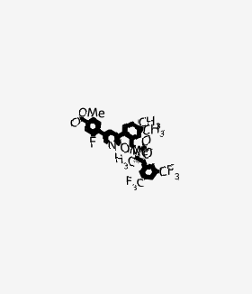 COC(=O)c1ccc(-c2cnc(OC)c(C3=C(CN4C(=O)OC(c5cc(C(F)(F)F)cc(C(F)(F)F)c5)[C@@H]4C)CC(C)(C)CC3)c2)c(F)c1